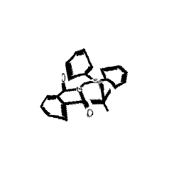 CC(C)(C)[Si](c1ccccc1)(c1ccccc1)N1C(=O)c2ccccc2C1=O